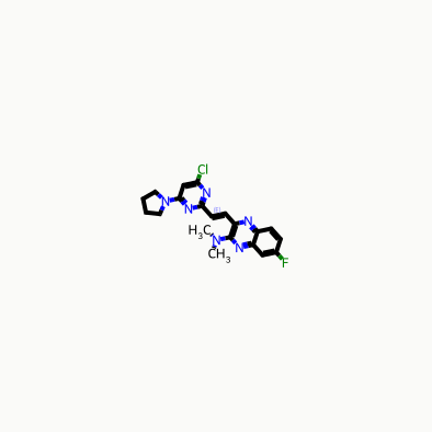 CN(C)c1nc2cc(F)ccc2nc1/C=C/c1nc(Cl)cc(N2CCCC2)n1